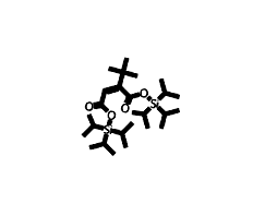 CC(C)[Si](OC(=O)/C=C(\C(=O)O[Si](C(C)C)(C(C)C)C(C)C)C(C)(C)C)(C(C)C)C(C)C